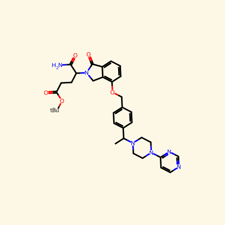 CC(c1ccc(COc2cccc3c2CN(C(CCC(=O)OC(C)(C)C)C(N)=O)C3=O)cc1)N1CCN(c2ccncn2)CC1